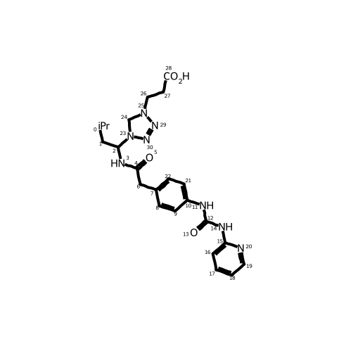 CC(C)CC(NC(=O)Cc1ccc(NC(=O)Nc2ccccn2)cc1)N1CN(CCC(=O)O)N=N1